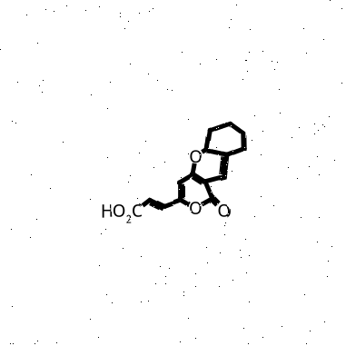 O=C(O)C=Cc1cc2c(c(=O)o1)C=C1CCCCC1O2